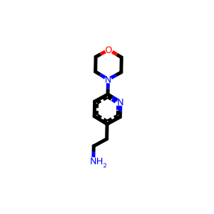 NCCc1ccc(N2CCOCC2)nc1